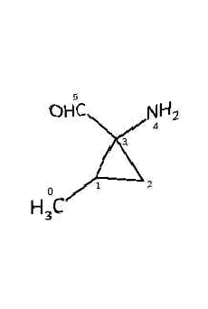 CC1CC1(N)C=O